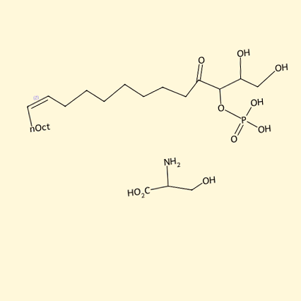 CCCCCCCC/C=C\CCCCCCCC(=O)C(OP(=O)(O)O)C(O)CO.NC(CO)C(=O)O